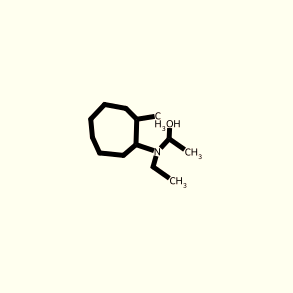 CCN(C(C)O)C1CCCCCCC1C